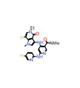 CCn1cc(F)c2c(c(Nc3cc(Nc4ccc(F)cn4)ncc3C(=O)NC)cn2C)c1=O